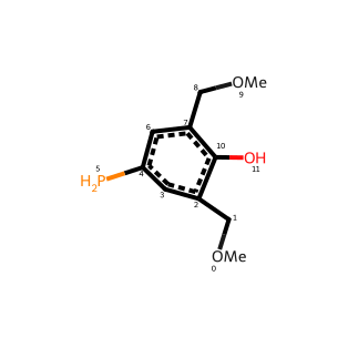 COCc1cc(P)cc(COC)c1O